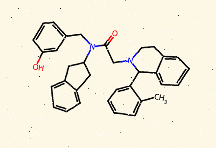 Cc1ccccc1C1c2ccccc2CCN1CC(=O)N(Cc1cccc(O)c1)C1Cc2ccccc2C1